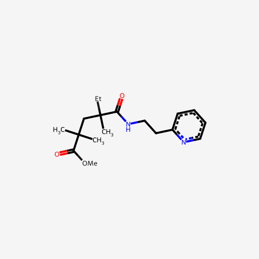 CCC(C)(CC(C)(C)C(=O)OC)C(=O)NCCc1ccccn1